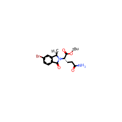 CC1c2cc(Br)ccc2C(=O)N1[C@@H](CCC(N)=O)C(=O)OC(C)(C)C